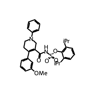 COc1cccc(C2=C(C(=O)NS(=O)(=O)Oc3c(C(C)C)cccc3C(C)C)CN(c3ccccc3)CC2)c1